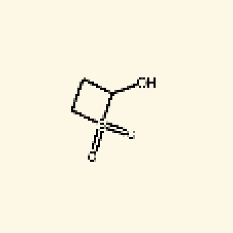 O=S1(=O)CC[C]1O